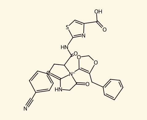 N#Cc1ccc(CC(C(=O)Nc2nc(C(=O)O)cs2)[N+]2(C3=C(Cc4ccccc4)OCO3)C(=O)CNC2=O)cc1